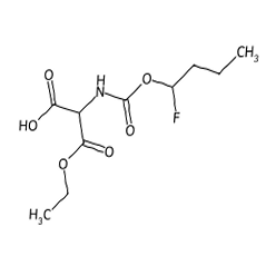 CCCC(F)OC(=O)NC(C(=O)O)C(=O)OCC